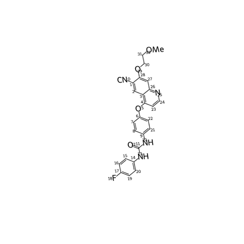 [C-]#[N+]c1cc2c(Oc3ccc(NC(=O)Nc4ccc(F)cc4)cc3)ccnc2cc1OCCOC